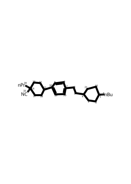 CCCCC1CCC(CCc2ccc(C3CCC(C#N)(CCC)CC3)cc2)CC1